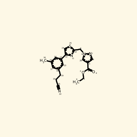 CCOC(=O)c1cnn(Cc2nc(-c3cc(C)cc(CCC#N)c3)cs2)c1